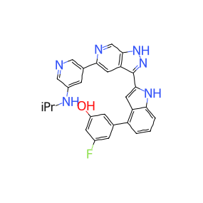 CC(C)Nc1cncc(-c2cc3c(-c4cc5c(-c6cc(O)cc(F)c6)cccc5[nH]4)n[nH]c3cn2)c1